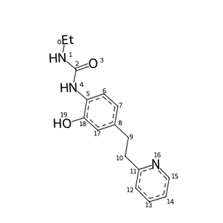 CCNC(=O)Nc1ccc(CCc2ccccn2)cc1O